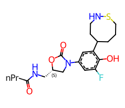 CCCC(=O)NC[C@H]1CN(c2cc(F)c(O)c(C3CCCSNCC3)c2)C(=O)O1